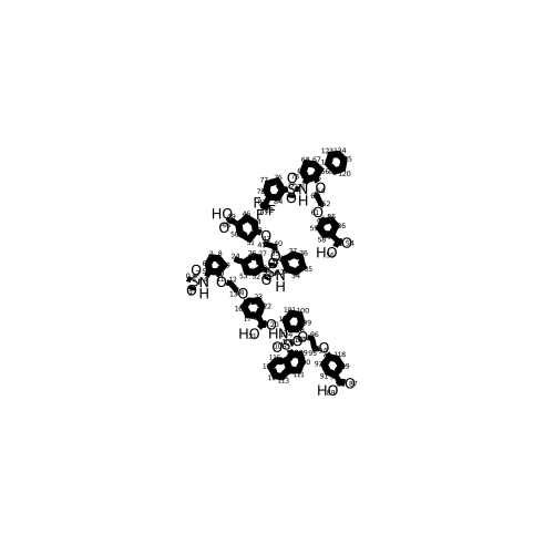 CS(=O)(=O)Nc1ccccc1OCCOc1ccc(C(=O)O)cc1.Cc1ccc(S(=O)(=O)Nc2ccccc2OCCOc2ccc(C(=O)O)cc2)cc1.O=C(O)c1ccc(OCCOc2ccccc2NS(=O)(=O)c2cccc(C(F)(F)F)c2)cc1.O=C(O)c1ccc(OCCOc2ccccc2NS(=O)(=O)c2cccc3ccccc23)cc1.c1ccccc1